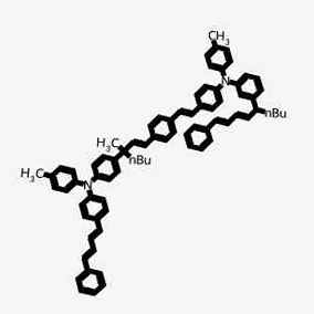 CCCCC(C=CC=Cc1ccccc1)c1cccc(N(c2ccc(C)cc2)c2ccc(C=Cc3ccc(C=CC(C)(CCCC)c4ccc(N(c5ccc(C)cc5)c5ccc(C=CC=Cc6ccccc6)cc5)cc4)cc3)cc2)c1